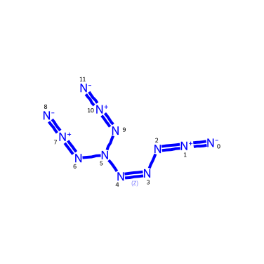 [N-]=[N+]=N/N=N\N(N=[N+]=[N-])N=[N+]=[N-]